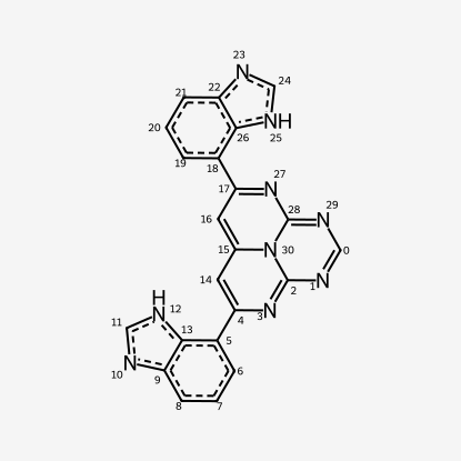 C1=NC2=NC(c3cccc4nc[nH]c34)=CC3=CC(c4cccc5nc[nH]c45)=NC(=N1)N32